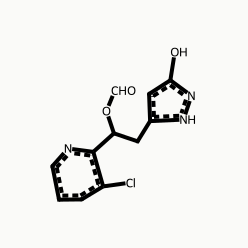 O=COC(Cc1cc(O)n[nH]1)c1ncccc1Cl